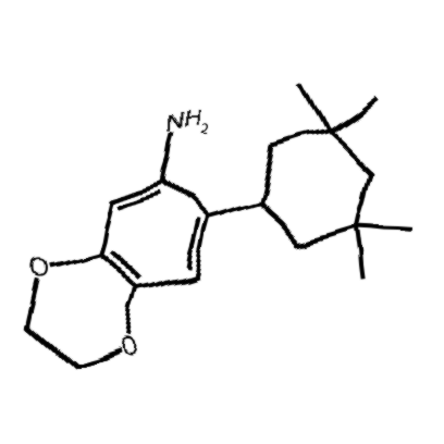 CC1(C)CC(c2cc3c(cc2N)OCCO3)CC(C)(C)C1